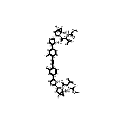 COC(=O)N[C@H](C(=O)N1[C@@H]2C[C@@H]2C[C@H]1c1ncc(-c2ccc(C#Cc3ccc(-c4cnc([C@@H]5C[C@H]6C[C@H]6N5C(=O)[C@@H](NC(=O)OC)C(C)C)[nH]4)cc3C)c(C)c2)[nH]1)C(C)C